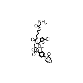 NCC(=O)SCCCCC(=O)N(C[C@H]1CN(c2ccc(N3CCOCC3=O)cc2F)C(=O)O1)C(=O)c1ccc(Cl)s1